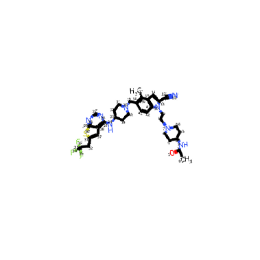 CC(=O)NC1CCN(CCn2c(C#N)cc3c(C)c(CN4CCC(Nc5ncnc6sc(CC(F)(F)F)cc56)CC4)ccc32)CC1